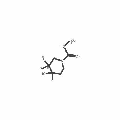 CCCCOC(=O)N1CCC(C)(O)C(C)(F)C1